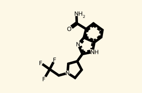 NC(=O)c1cccc2[nH]c(C3CCN(CC(F)(F)F)C3)nc12